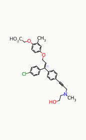 Cc1cc(OC/C=C(\c2ccc(Cl)cc2)c2ccc(C#CCN(C)CCO)cc2)ccc1OCC(=O)O